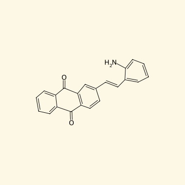 Nc1ccccc1C=Cc1ccc2c(c1)C(=O)c1ccccc1C2=O